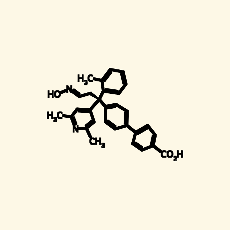 Cc1cc([C@@](C/C=N/O)(c2ccc(-c3ccc(C(=O)O)cc3)cc2)c2ccccc2C)cc(C)n1